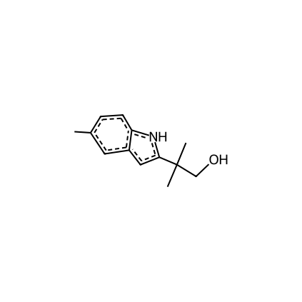 Cc1ccc2[nH]c(C(C)(C)CO)cc2c1